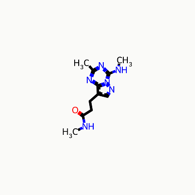 CNC(=O)CCc1cnn2c(NC)nc(C)nc12